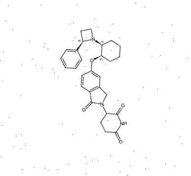 O=C1CCC(N2Cc3cc(O[C@@H]4CCCC[C@@H]4N4CC[C@@H]4c4ccccc4)ccc3C2=O)C(=O)N1